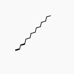 C=C/C=C/CC[CH]CCCCCCC